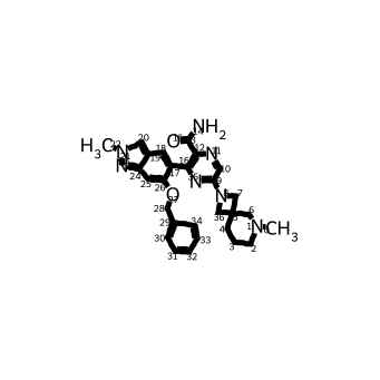 CN1CCCC2(C1)CN(c1cnc(C(N)=O)c(-c3cc4cn(C)nc4cc3OCc3ccccc3)n1)C2